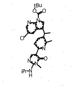 Cc1nc(-c2cnc(NC(C)C)n(C)c2=O)ccc1C(C)c1cn(C(=O)OC(C)(C)C)c2ncc(Cl)cc12